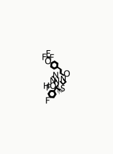 C[C@@H](SC1CN(C(=O)C=Cc2ccc(OC(F)(F)F)cc2)C1)[C@](O)(Cn1cncn1)c1ccc(F)cc1F